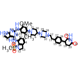 COc1cc(N2CCC(N3CCN(CCc4ccc(C5CCC(=O)NC5=O)cc4)CC3)CC2)c(C)cc1Nc1nc(Nc2cccc3c2N(S(C)(=O)=O)CC3)c2cc[nH]c2n1